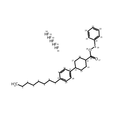 CCCCCCCCc1ccc(C2CCC(C(=O)OSc3ccccc3)CC2)cc1.F.F.F.F.F